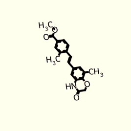 COC(=O)c1ccc(/C=C/c2cc(C)c3c(c2)NC(=O)CO3)c(C)c1